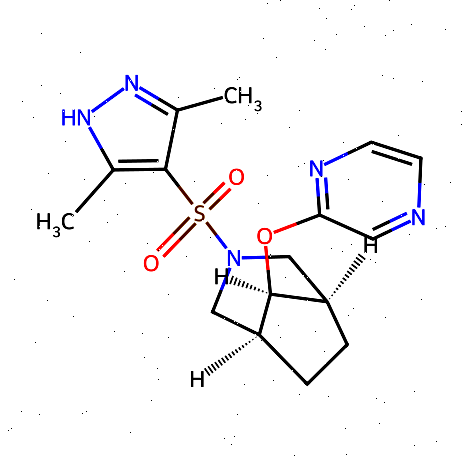 Cc1n[nH]c(C)c1S(=O)(=O)N1C[C@H]2CC[C@@H](C1)[C@H]2Oc1cnccn1